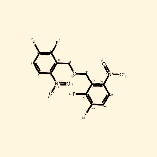 O=[N+]([O-])c1ccc(F)c(F)c1COCc1c([N+](=O)[O-])ccc(F)c1F